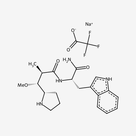 CO[C@@H]([C@@H]1CCCN1)[C@@H](C)C(=O)N[C@@H](Cc1c[nH]c2ccccc12)C(N)=O.O=C([O-])C(F)(F)F.[Na+]